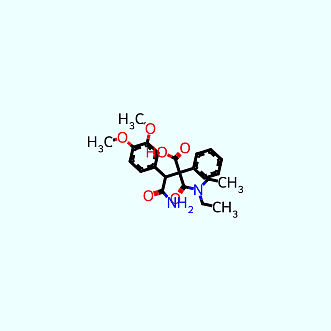 CCN(CC)C(=O)C(C(=O)O)(c1ccccc1)C(C(N)=O)c1ccc(OC)c(OC)c1